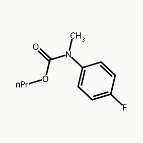 [CH2]CCOC(=O)N(C)c1ccc(F)cc1